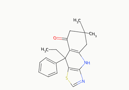 CCC1(c2ccccc2)C2=C(CC(C)(C)CC2=O)Nc2ncsc21